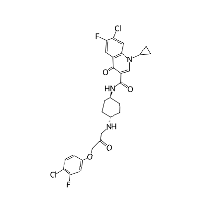 O=C(CN[C@H]1CC[C@H](NC(=O)c2cn(C3CC3)c3cc(Cl)c(F)cc3c2=O)CC1)COc1ccc(Cl)c(F)c1